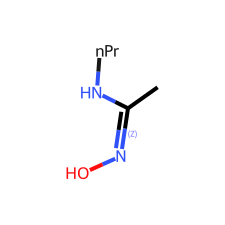 CCCN/C(C)=N\O